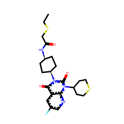 CCSCC(=O)N[C@H]1CC[C@@H](n2c(=O)c3cc(F)cnc3n(C3CCSCC3)c2=O)CC1